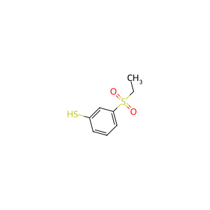 CCS(=O)(=O)c1cccc(S)c1